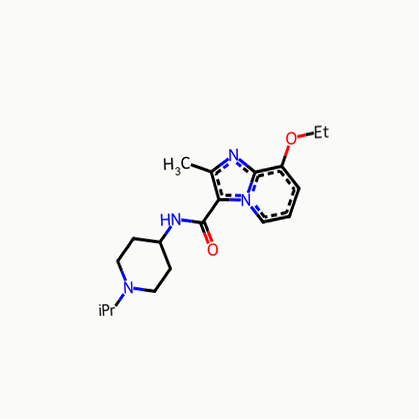 CCOc1cccn2c(C(=O)NC3CCN(C(C)C)CC3)c(C)nc12